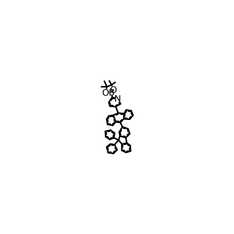 CC1(C)OB(c2ccc(-c3c4ccccc4c(-c4ccc5c(c4)C(c4ccccc4)(c4ccccc4)c4ccccc4-5)c4ccccc34)cn2)OC1(C)C